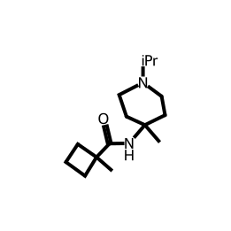 CC(C)N1CCC(C)(NC(=O)C2(C)CCC2)CC1